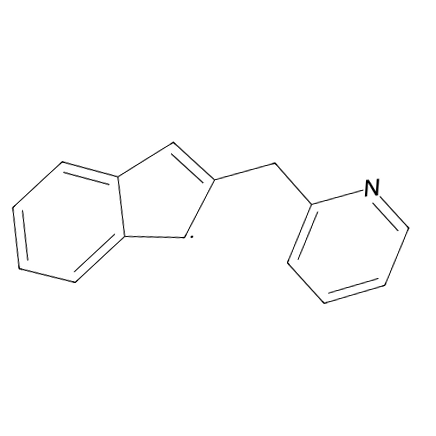 [CH]1C(Cc2ccccn2)=Cc2ccccc21